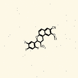 CCOc1cc2c3c(ccc2cc1C#N)OC(c1cc(F)c(F)cc1F)C([N+](=O)[O-])C3